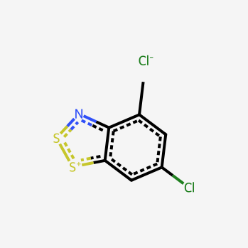 Cc1cc(Cl)cc2[s+]snc12.[Cl-]